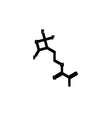 C=C(C)C(=O)OCCC1C(F)OC1(F)F